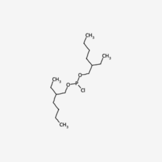 CCCCC(CC)COP(Cl)OCC(CC)CCCC